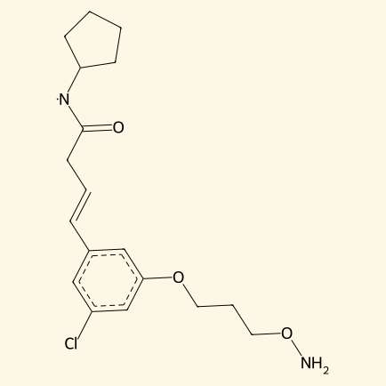 NOCCCOc1cc(Cl)cc(C=CCC(=O)[N]C2CCCC2)c1